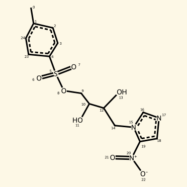 Cc1ccc(S(=O)(=O)OCC(O)C(O)Cn2cncc2[N+](=O)[O-])cc1